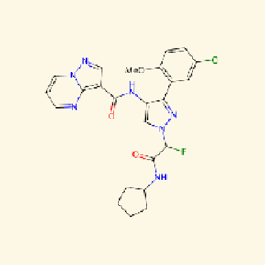 COc1ccc(Cl)cc1-c1nn(C(F)C(=O)NC2CCCC2)cc1NC(=O)c1cnn2cccnc12